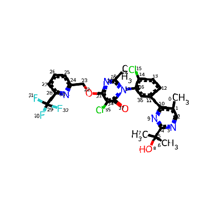 Cc1cnc(C(C)(C)O)nc1-c1ccc(Cl)c(-n2c(C)nc(OCc3cccc(C(F)(F)F)n3)c(Cl)c2=O)c1